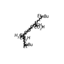 CCCCC(CC)CCCCCSC(CCOCCOCCOCCC(SCCCCCC(CC)CCCC)C(C)C(=O)O)C(C)C(=O)O